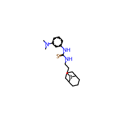 CN(C)c1cccc(NC(=S)NCCCB2C3CCCC2CCC3)c1